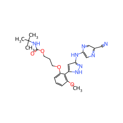 COc1cccc(OCCCOC(=O)NC(C)(C)C)c1-c1cc(Nc2cnc(C#N)cn2)n[nH]1